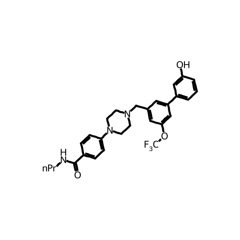 CCCNC(=O)c1ccc(N2CCN(Cc3cc(OC(F)(F)F)cc(-c4cccc(O)c4)c3)CC2)cc1